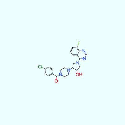 O=C(c1ccc(Cl)cc1)N1CCN(C2CN(c3ncnc4c(F)cccc34)CC2O)CC1